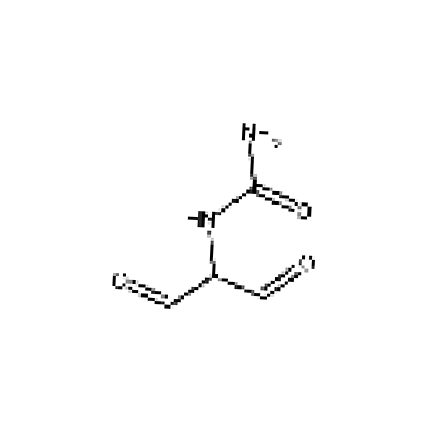 NC(=O)NC(C=O)C=O